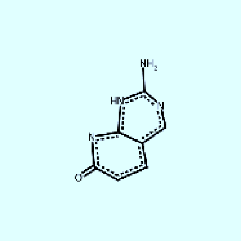 Nc1ncc2ccc(=O)nc-2[nH]1